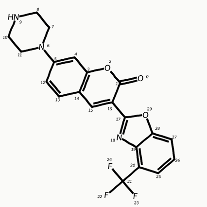 O=c1oc2cc(N3CCNCC3)ccc2cc1-c1nc2c(C(F)(F)F)cccc2o1